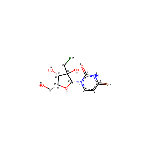 O=c1[nH]c(=S)ccn1[C@@H]1O[C@H](CO)[C@H](O)C1(O)CF